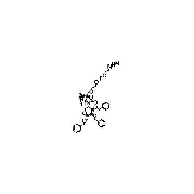 [2H]C1([2H])N([C@H]2CO[C@H](COCc3ccccc3)[C@H](OCc3ccccc3)[C@@H]2OCc2ccccc2)C(=O)O[C@@]1([2H])COCCOCCOCCN=[N+]=[N-]